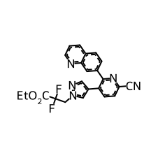 CCOC(=O)C(F)(F)Cn1cc(-c2ccc(C#N)nc2-c2ccc3cccnc3c2)cn1